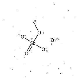 C[O][Sb](=[O])([O-])[O-].[Zn+2]